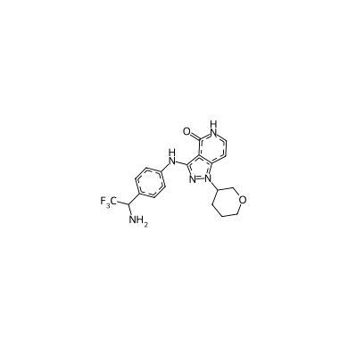 NC(c1ccc(Nc2nn(C3CCCOC3)c3cc[nH]c(=O)c23)cc1)C(F)(F)F